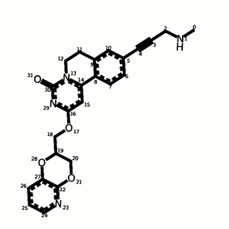 CNCC#Cc1ccc2c(c1)CCn1c-2cc(OCC2COc3ncccc3O2)nc1=O